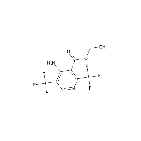 CCOC(=O)c1c(C(F)(F)F)ncc(C(F)(F)F)c1N